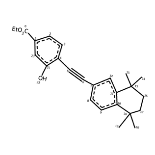 CCOC(=O)c1ccc(C#Cc2ccc3c(c2)C(C)(C)CCC3(C)C)c(O)c1